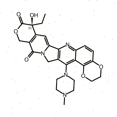 CC[C@@]1(O)C(=O)OCc2c1cc1n(c2=O)Cc2c-1nc1ccc3c(c1c2N1CCN(C)CC1)OCCO3